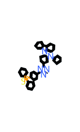 S=P(c1ccccc1)(c1ccccc1)c1ccc(-c2ncnc(-c3ccc4c(c3)N(c3ccccc3)c3cccc5c6ccccc6n-4c35)n2)cc1